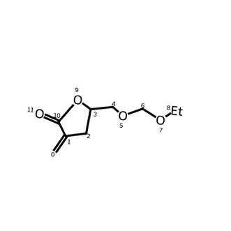 C=C1CC(COCOCC)OC1=O